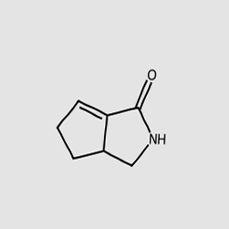 O=C1NCC2CCC=C12